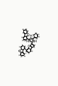 C1=Cc2c(oc3c(C4=CC=CC5Oc6ccccc6C45)cccc23)C=1C1NC(C2=CC=CCC2)NC(c2cccc3c2oc2ccccc23)N1